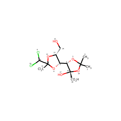 CC1(C)O[C@@H]([C@@H]2OC(C(Cl)Cl)(C(Cl)(Cl)Cl)O[C@@H]2CO)[C@](O)(C(=O)O)O1